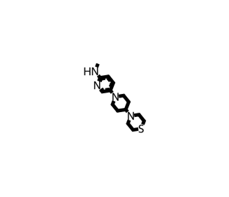 CNc1ccc(N2CCC(N3CCSCC3)CC2)cn1